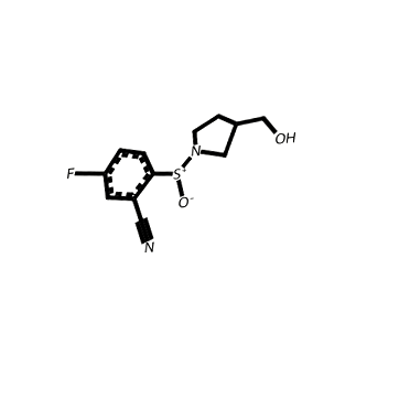 N#Cc1cc(F)ccc1[S+]([O-])N1CCC(CO)C1